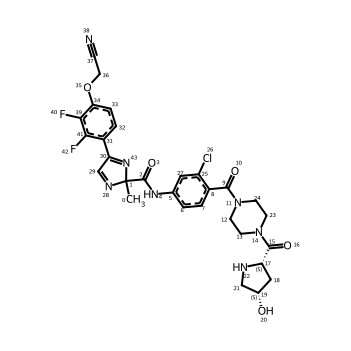 CC1(C(=O)Nc2ccc(C(=O)N3CCN(C(=O)[C@@H]4C[C@H](O)CN4)CC3)c(Cl)c2)N=CC(c2ccc(OCC#N)c(F)c2F)=N1